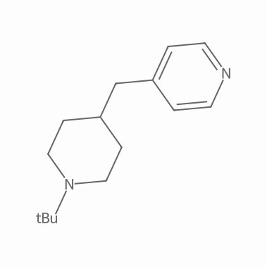 CC(C)(C)N1CCC(Cc2ccncc2)CC1